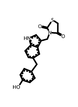 O=C1CSC(=O)N1Cc1c[nH]c2ccc(Cc3ccc(O)cc3)cc12